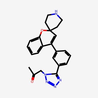 CC(=O)Cn1nnnc1-c1cccc(C2=CC3(CCNCC3)Oc3ccccc32)c1